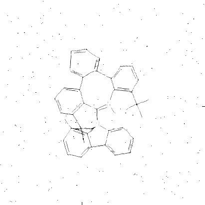 Cc1cccc2c3ccccc3n(/C3=[N+](\C)c4c(cccc4C(C)(C)C)-c4ccccc4-c4cccc(C(C)(C)C)c43)c12